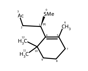 CS[C@H](CC(C)=O)C1=C(C)CCCC1(C)C